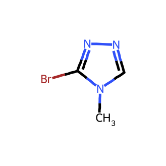 Cn1cnnc1Br